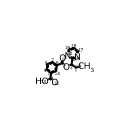 C[CH]C(OC(=O)c1cccc(C(=O)O)c1)c1ncccn1